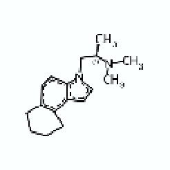 C[C@H](Cn1ccc2c3c(ccc21)CCCC3)N(C)C